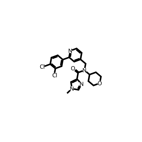 Cn1cnc(C(=O)N(Cc2ccnc(-c3ccc(Cl)c(Cl)c3)c2)C2CCOCC2)c1